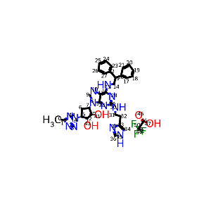 Cc1nnn([C@H]2C[C@@H](n3cnc4c(NCC(c5ccccc5)c5ccccc5)nc(NCCc5c[nH]cn5)nc43)[C@H](O)[C@@H]2O)n1.O=C(O)C(F)(F)F